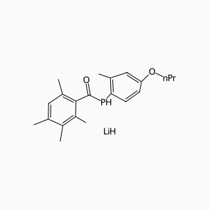 CCCOc1ccc(PC(=O)c2c(C)cc(C)c(C)c2C)c(C)c1.[LiH]